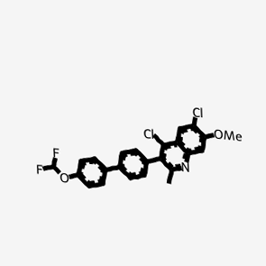 COc1cc2nc(C)c(-c3ccc(-c4ccc(OC(F)F)cc4)cc3)c(Cl)c2cc1Cl